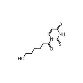 O=C(CCCCCO)n1ccc(=O)[nH]c1=S